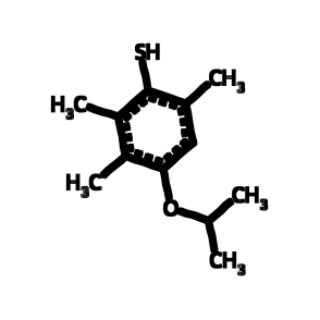 Cc1cc(OC(C)C)c(C)c(C)c1S